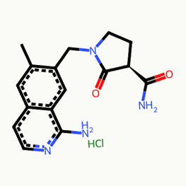 Cc1cc2ccnc(N)c2cc1CN1CC[C@@H](C(N)=O)C1=O.Cl